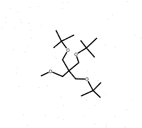 COCC(COC(C)(C)C)(COC(C)(C)C)COC(C)(C)C